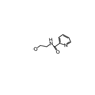 [O]CCNC(=O)c1ccccn1